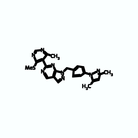 CSc1ncnc(C)c1-c1ncc2cnn(Cc3ccc(-n4nc(C)cc4C)cc3)c2n1